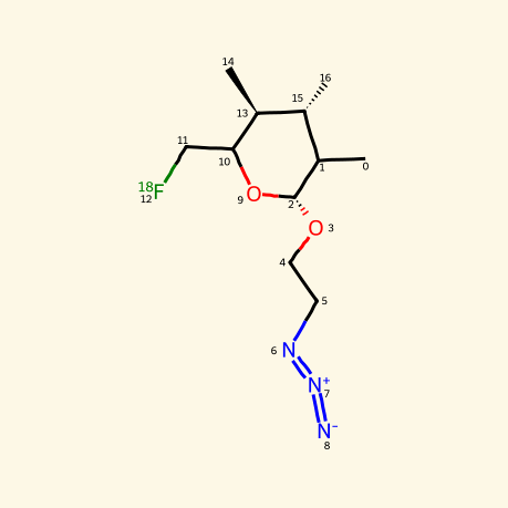 CC1[C@H](OCCN=[N+]=[N-])OC(C[18F])[C@@H](C)[C@@H]1C